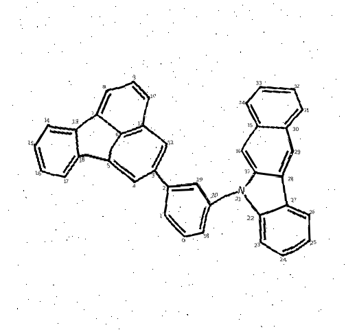 c1cc(-c2cc3c4c(cccc4c2)-c2ccccc2-3)cc(-n2c3ccccc3c3cc4ccccc4cc32)c1